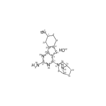 CC(C)(C)C1CCc2sc3c(N4CC5CCC(C4)N5)nc(N)nc3c2C1.Cl